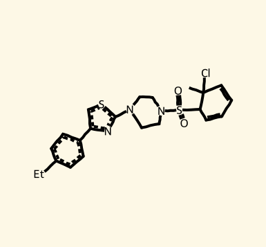 CCc1ccc(-c2csc(N3CCN(S(=O)(=O)C4C=CC=CC4(C)Cl)CC3)n2)cc1